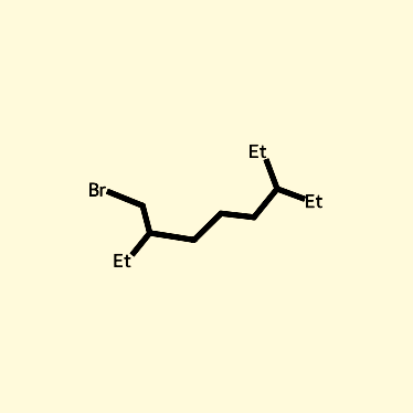 CCC(CC)CCCC(CC)CBr